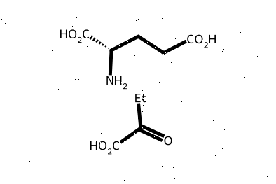 CCC(=O)C(=O)O.N[C@@H](CCC(=O)O)C(=O)O